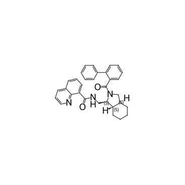 O=C(NC[C@@H]1[C@H]2CCCC[C@@H]2CN1C(=O)c1ccccc1-c1ccccc1)c1cccc2cccnc12